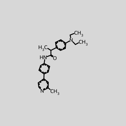 CCN(CC)c1ccc(C(C)C(=O)Nc2ccc(-c3ccnc(C)c3)cc2)cc1